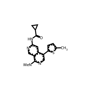 CNc1ncc(-c2ccc(C)s2)c2cc(NC(=O)C3CC3)ncc12